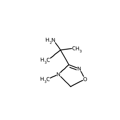 CN1CON=C1C(C)(C)N